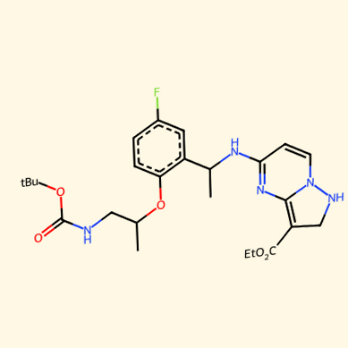 CCOC(=O)C1=C2N=C(NC(C)c3cc(F)ccc3OC(C)CNC(=O)OC(C)(C)C)C=CN2NC1